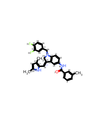 Cc1cccc(C(=O)Nc2ccc3c(c2)/C(=C/c2[nH]c(C)cc2C)CN3Cc2ccc(F)c(F)c2)c1